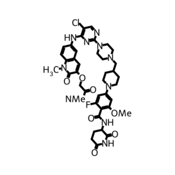 CNC(=O)COc1cc2cc(Nc3nc(N4CCN(CC5CCN(c6cc(F)c(C(=O)NC7CCC(=O)NC7=O)c(OC)c6)CC5)CC4)ncc3Cl)ccc2n(C)c1=O